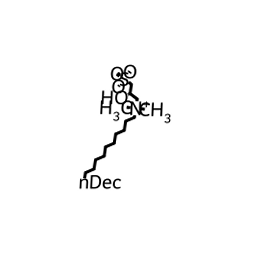 CCCCCCCCCCCCCCCCCCCC[N+](C)(C)CC(O)CS(=O)(=O)[O-]